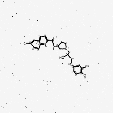 O=C(NC1CCN(CC(O)COc2ccc(Cl)c(F)c2)C1)c1ccc2cc(Cl)ccc2n1